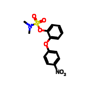 CN(C)S(=O)(=O)Oc1ccccc1Oc1ccc([N+](=O)[O-])cc1